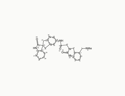 CNCc1ccccc1CN(CC(=O)Nc1cnc2c(c1)CC1(C2)C(=O)Nc2ncccc21)C(=O)C(C)(C)C